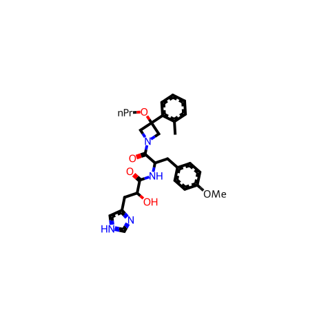 CCCOC1(c2ccccc2C)CN(C(=O)C(Cc2ccc(OC)cc2)NC(=O)C(O)Cc2c[nH]cn2)C1